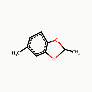 Cc1c[c]c2c(c1)OC(C)O2